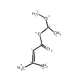 COC(C)OC(=O)C=C(C)N